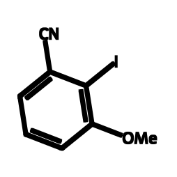 COc1cccc(C#N)c1I